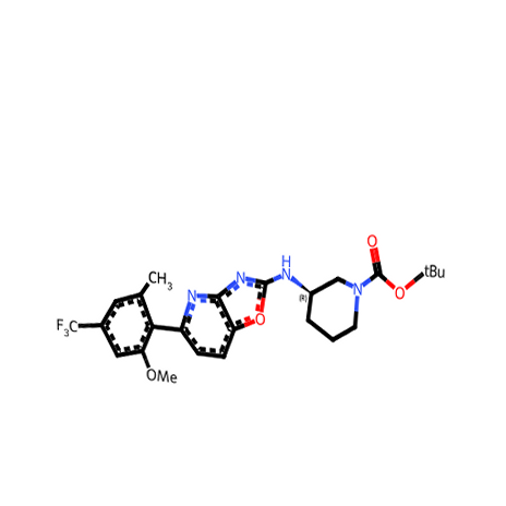 COc1cc(C(F)(F)F)cc(C)c1-c1ccc2oc(N[C@@H]3CCCN(C(=O)OC(C)(C)C)C3)nc2n1